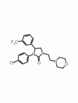 O=C1N(CCN2CCOCC2)CC(c2cccc(C(F)(F)F)c2)N1c1ccc(Cl)cc1